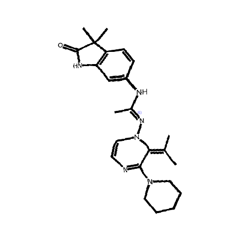 CC(C)=C1C(N2CCCCC2)=NC=CN1/N=C(\C)Nc1ccc2c(c1)NC(=O)C2(C)C